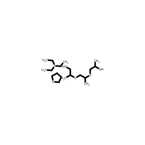 C1CCOC1.CC(O)COC(C)COC(C)CO.CCN(CC)CC